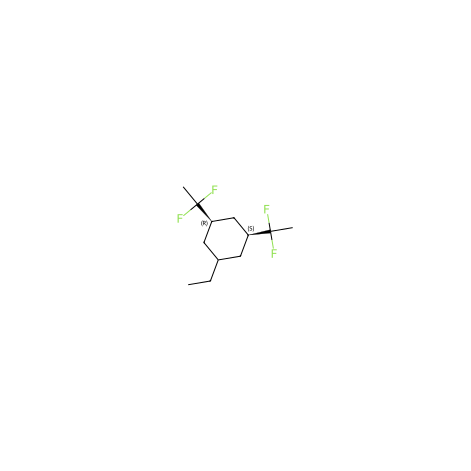 CCC1C[C@@H](C(C)(F)F)C[C@@H](C(C)(F)F)C1